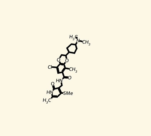 CSc1cc(C)[nH]c(=O)c1CNC(=O)c1cc(Cl)c2c(c1C)OC(C1CCC(N(C)C)CC1)CO2